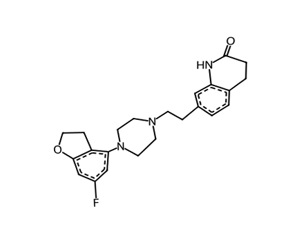 O=C1CCc2ccc(CCN3CCN(c4cc(F)cc5c4CCO5)CC3)cc2N1